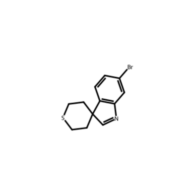 Brc1ccc2c(c1)N=CC21CCSCC1